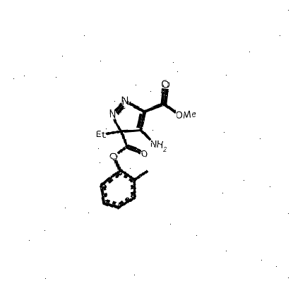 CCC1(C(=O)Oc2ccccc2C)N=NC(C(=O)OC)=C1N